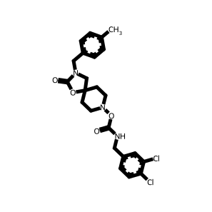 Cc1ccc(CN2CC3(CCN(OC(=O)NCc4ccc(Cl)c(Cl)c4)CC3)OC2=O)cc1